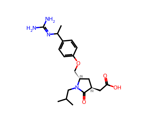 CC(C)CN1C(=O)[C@H](CC(=O)O)C[C@H]1COc1ccc(C(C)N=C(N)N)cc1